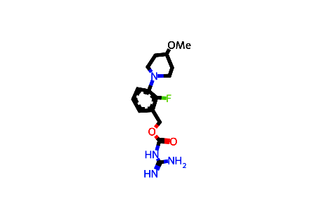 COC1CCN(c2cccc(COC(=O)NC(=N)N)c2F)CC1